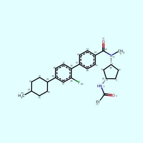 CCC(=O)N[C@H]1CC[C@@H](N(C)C(=O)c2ccc(-c3ccc(C4CCC(C)CC4)cc3F)cc2)C1